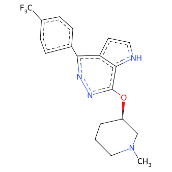 CN1CCC[C@@H](Oc2nnc(-c3ccc(C(F)(F)F)cc3)c3cc[nH]c23)C1